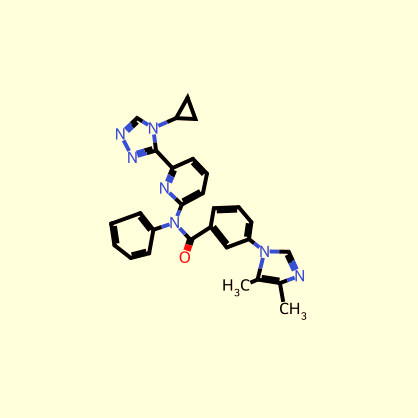 Cc1ncn(-c2cccc(C(=O)N(c3ccccc3)c3cccc(-c4nncn4C4CC4)n3)c2)c1C